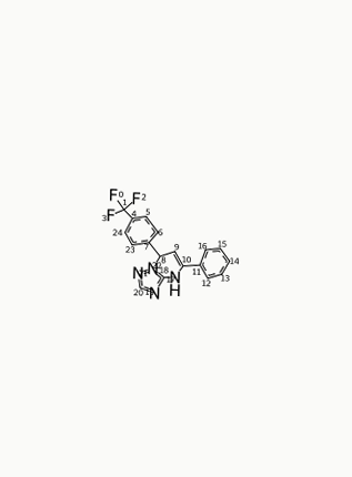 FC(F)(F)c1ccc(C2C=C(c3ccccc3)Nc3ncnn32)cc1